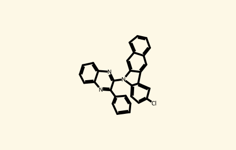 Clc1ccc2c(c1)c1cc3ccccc3cc1n2-c1nc2ccccc2nc1-c1ccccc1